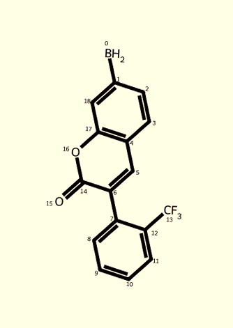 Bc1ccc2cc(-c3ccccc3C(F)(F)F)c(=O)oc2c1